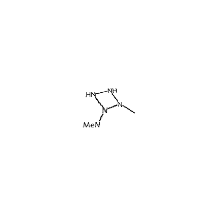 CNN1NNN1C